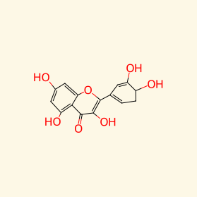 O=c1c(O)c(C2=CCC(O)C(O)=C2)oc2cc(O)cc(O)c12